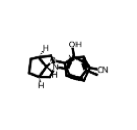 Cc1ccc(O[C@@H]2[C@@H]3CC[C@H]2CN(c2ccc(C#N)cn2)C3)c(O)c1